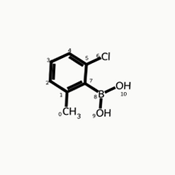 Cc1cccc(Cl)c1B(O)O